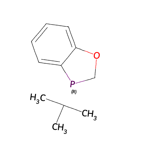 CC(C)(C)[P@]1COc2ccccc21